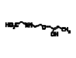 CC=C(O)COCCCNCC(=O)O